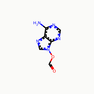 Nc1ncnc2c1ncn2OC=O